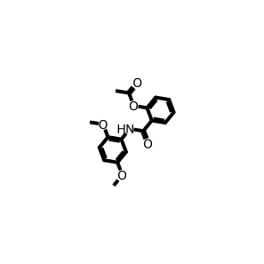 COc1ccc(OC)c(NC(=O)c2ccccc2OC(C)=O)c1